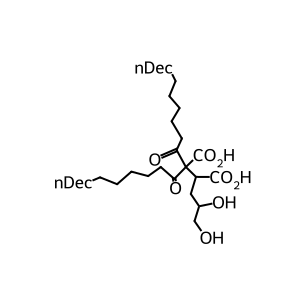 CCCCCCCCCCCCCCCC(=O)C(C(=O)O)(C(=O)CCCCCCCCCCCCCCC)C(CC(O)CO)C(=O)O